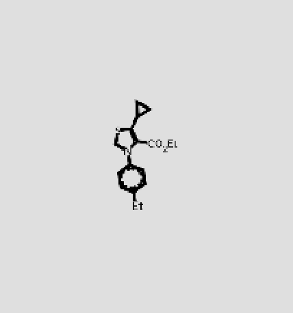 CCOC(=O)C1=C(C2CC2)SCN1c1ccc(CC)cc1